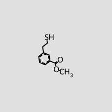 COC(=O)c1cccc(CCS)c1